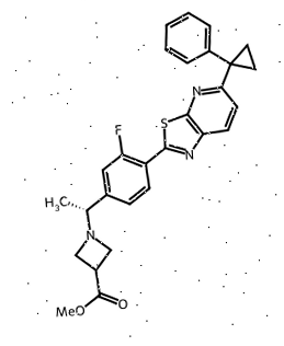 COC(=O)C1CN([C@H](C)c2ccc(-c3nc4ccc(C5(c6ccccc6)CC5)nc4s3)c(F)c2)C1